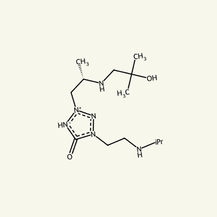 CC(C)NCCn1n[n+](C[C@H](C)NCC(C)(C)O)[nH]c1=O